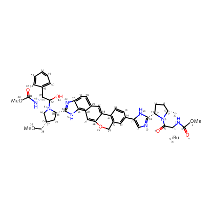 CC[C@H](C)C(NC(=O)OC)C(=O)N1[C@@H](C)CC[C@H]1c1ncc(-c2ccc3c(c2)COc2cc4c(ccc5nc([C@@H]6C[C@H](COC)CN6C(O)[C@H](NC(=O)OC)c6ccccc6)[nH]c54)cc2-3)[nH]1